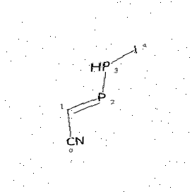 N#CC=PPI